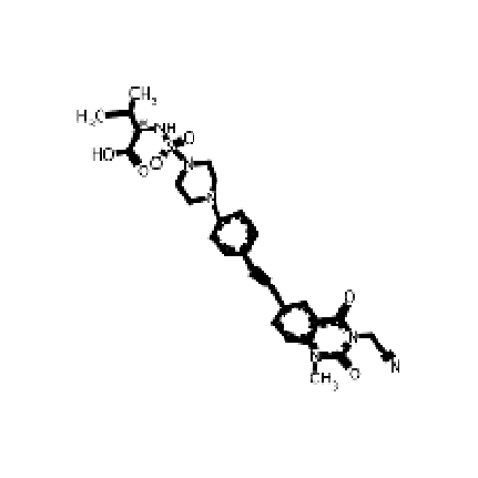 CC(C)[C@@H](NS(=O)(=O)N1CCN(c2ccc(C#Cc3ccc4c(c3)c(=O)n(CC#N)c(=O)n4C)cc2)CC1)C(=O)O